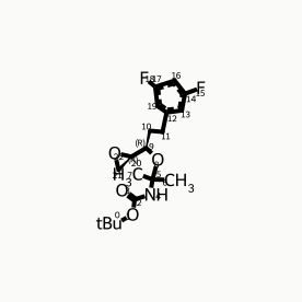 CC(C)(C)OC(=O)NC(C)(C)O[C@H](CCc1cc(F)cc(F)c1)[C@H]1CO1